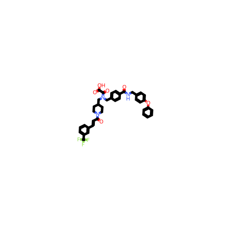 O=C(O)C(=O)N(Cc1ccc(C(=O)NCc2ccc(Oc3ccccc3)cc2)cc1)CC1CCN(C(=O)C=Cc2cccc(C(F)(F)F)c2)CC1